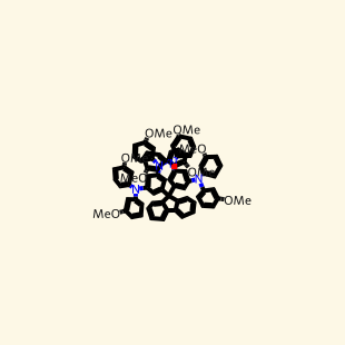 COc1cccc(N(c2cccc(OC)c2)c2cc(N(c3cccc(OC)c3)c3cccc(OC)c3)cc(C3(c4cc(N(c5cccc(OC)c5)c5cccc(OC)c5)cc(N(c5cccc(OC)c5)c5cccc(OC)c5)c4)c4ccccc4-c4ccccc43)c2)c1